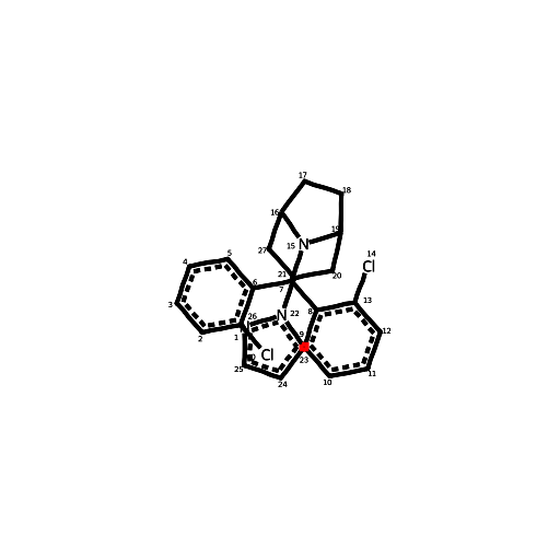 Clc1ccccc1C(c1ccccc1Cl)N1C2CCC1CC(n1cccn1)C2